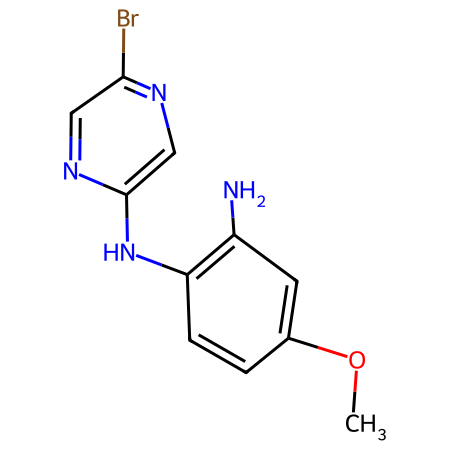 COc1ccc(Nc2cnc(Br)cn2)c(N)c1